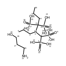 CCCN(C(P(=O)(O)O)P(=O)(O)O)C(CCC)(P(=O)(O)O)P(=O)(O)O.NCCCO